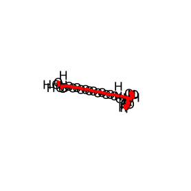 O=C(O)CC[C@H](NC(=O)CCOCCOCCOCCOCCOCCOCCOCCOCCOCCOCCOCCOCCNC(=O)CNCCNC(=O)c1cc(N2C(=O)C=CC2=O)ccc1CCC(=O)Oc1c(F)c(F)cc(F)c1F)C(=O)O